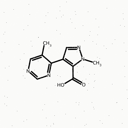 Cc1cncnc1-c1cnn(C)c1C(=O)O